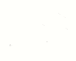 CC(C)c1c(-c2ccnc3[nH]ncc23)[nH]c2ccc(C3CCNCC3)cc12.Cl